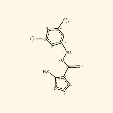 Cc1oncc1C(=O)ONc1cc(C(F)(F)F)cc(C(F)(F)F)c1